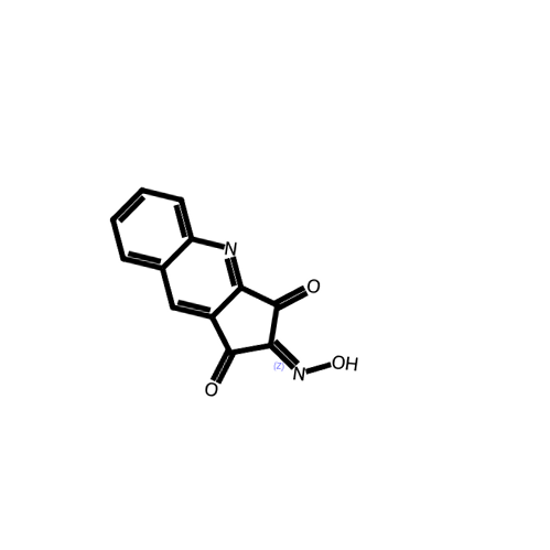 O=c1/c(=N/O)c(=O)c2nc3ccccc3cc12